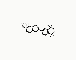 CC1(C)CCC(C)(C)c2cc(-c3ccc4cc(OC(=O)O)ccc4c3)ccc21